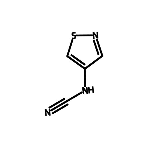 N#CNc1cnsc1